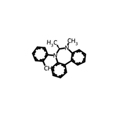 Cc1ccccc1N1c2ccccc2-c2ccccc2N(C)[C@@H]1C